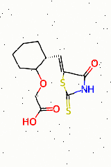 O=C(O)COC1CCCC[C@@H]1/C=C1\SC(=S)NC1=O